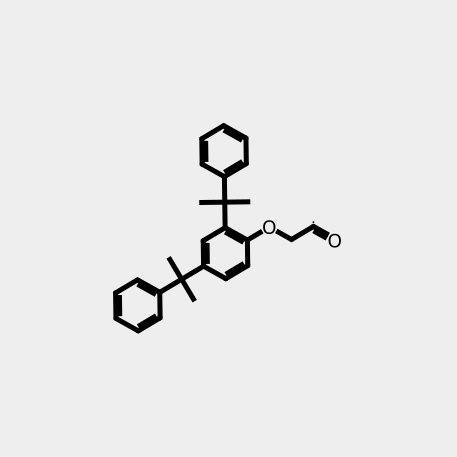 CC(C)(c1ccccc1)c1ccc(OC[C]=O)c(C(C)(C)c2ccccc2)c1